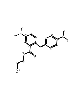 CN(C)c1ccc(Cc2ccc(N(C)C)cc2C(=O)OCCS)cc1